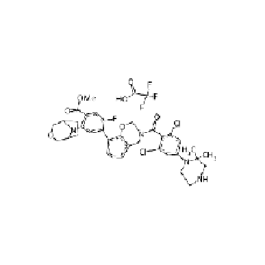 COC(=O)c1cc(F)c(-c2cccc3c2OCN(C(=O)c2c(Cl)cc(N4CCNCC4(C)C)cc2Cl)C3)cc1N1C2CCC1COC2.O=C(O)C(F)(F)F